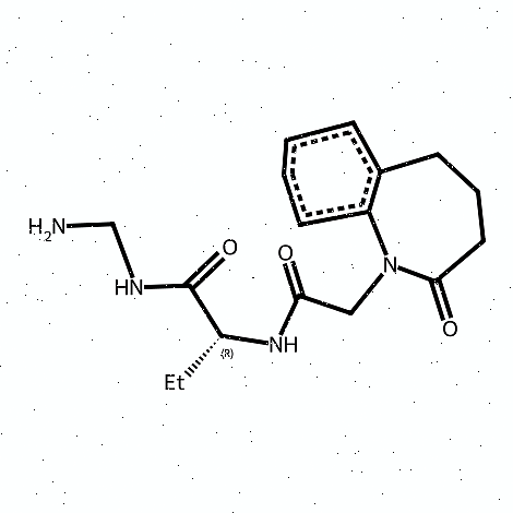 CC[C@@H](NC(=O)CN1C(=O)CCCc2ccccc21)C(=O)NCN